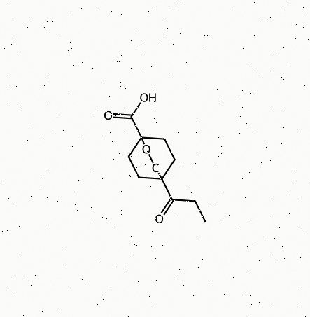 CCC(=O)C12CCC(C(=O)O)(CC1)OC2